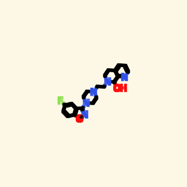 OC1c2ncccc2CCN1CCN1CCN(c2noc3ccc(F)cc23)CC1